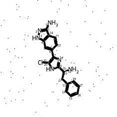 Nc1n[nH]c2cc(-c3nc([C@@H](N)Cc4ccccc4)[nH]c3Cl)ccc12